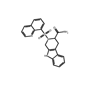 NC(=O)C1Cc2c([nH]c3ccccc23)CN1S(=O)(=O)c1cccc2cccnc12